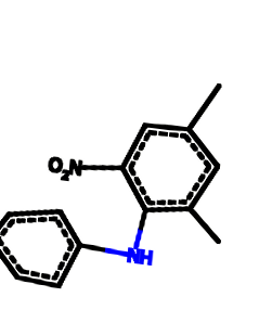 Cc1cc(C)c(Nc2ccccc2)c([N+](=O)[O-])c1